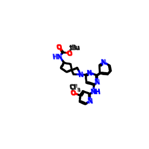 CC(C)(C)OC(=O)NC1CCC2(C1)CN(c1cc(Nc3cc(OC(F)(F)F)ccn3)nc(-c3cccnc3)n1)C2